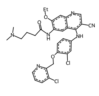 CCOc1cc2ncc(C#N)c(Nc3ccc(OCc4ncccc4Cl)c(Cl)c3)c2cc1NC(=O)CCCN(C)C